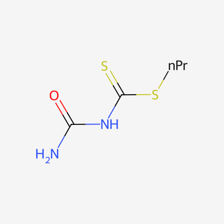 CCCSC(=S)NC(N)=O